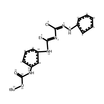 CC/C(=N\C(Cl)=N/Nc1ccccc1)Nc1cccc(NC(=O)OC(C)(C)C)c1